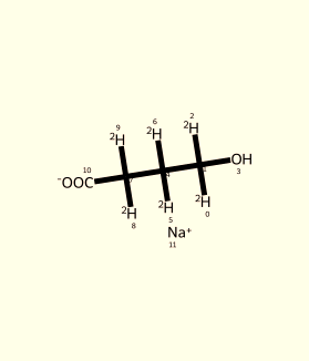 [2H]C([2H])(O)C([2H])([2H])C([2H])([2H])C(=O)[O-].[Na+]